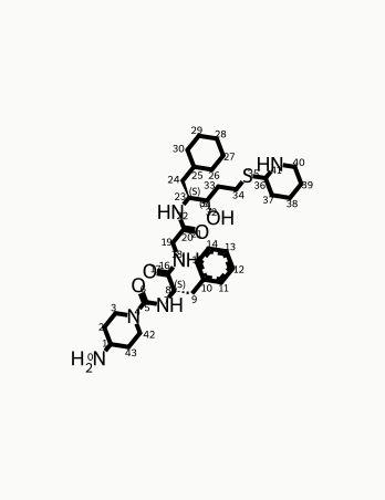 NC1CCN(C(=O)N[C@@H](Cc2ccccc2)C(=O)NCC(=O)N[C@@H](CC2CCCCC2)[C@@H](O)CCSC2CCCCN2)CC1